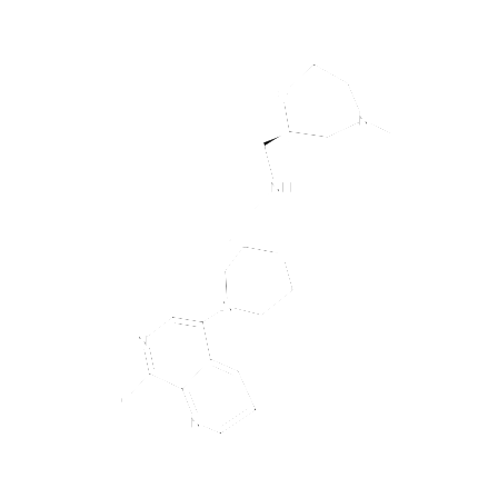 C[C@@H]1CN(c2cnc(C(F)(F)F)c3ncccc23)C[C@H](CNC[C@@H]2CN(C)CCO2)O1